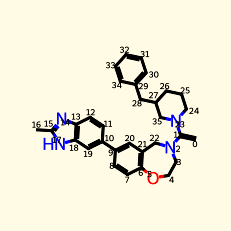 C=C(N1CCOc2ccc(-c3ccc4nc(C)[nH]c4c3)cc2C1)N1CCCC(Cc2ccccc2)C1